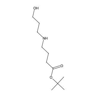 CC(C)(C)OC(=O)CCCNCCCO